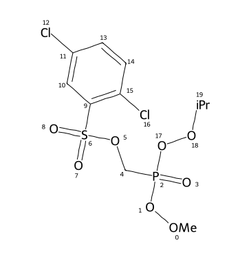 COOP(=O)(COS(=O)(=O)c1cc(Cl)ccc1Cl)OOC(C)C